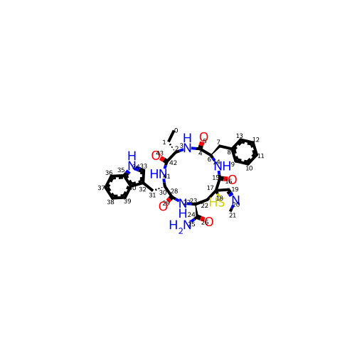 CC[C@@H]1NC(=O)[C@@H](Cc2ccccc2)NC(=O)C(S)(/C=N\C)C[C@@H](C(N)=O)NC(=O)[C@H](Cc2c[nH]c3ccccc23)NC1=O